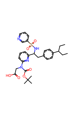 CCC(CC)c1ccc(CC(NS(=O)(=O)c2cccnc2)c2cccc(N(CC(=O)O)C(=O)OC(C)(C)C)n2)cc1